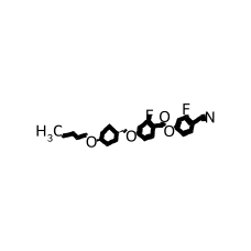 CCCCCO[C@H]1CC[C@H](COc2ccc(C(=O)Oc3ccc(C#N)c(F)c3)c(F)c2)CC1